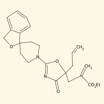 C=CCC1(CC(=C)C(=O)OCC)OC(N2CCC3(CC2)OCc2ccccc23)=NC1=O